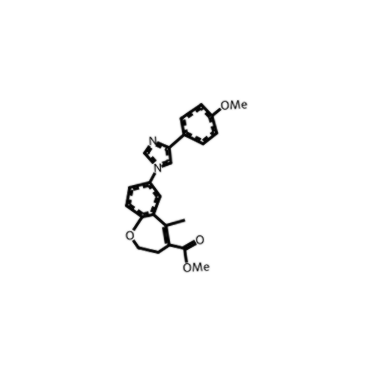 COC(=O)C1=C(C)c2cc(-n3cnc(-c4ccc(OC)cc4)c3)ccc2OCC1